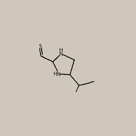 CC(C)C1CNC(C=S)N1